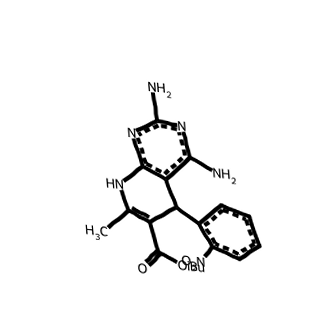 CC1=C(C(=O)OCC(C)C)C(c2ccccc2[N+](=O)[O-])c2c(N)nc(N)nc2N1